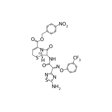 Nc1nc(C(=NOc2cccc(C(F)(F)F)c2)C(=O)NC2C(=O)N3C(C(=O)OCc4ccc([N+](=O)[O-])cc4)=CCS[C@@H]23)ns1